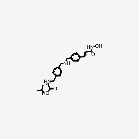 CC(C)C[C@H](NCc1ccc(CNCc2ccc(/C=C/C(=O)NO)cc2)cc1)C(=O)O